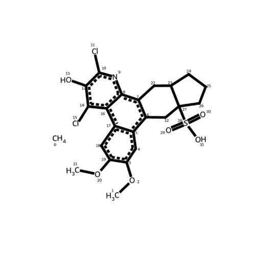 C.COc1cc2c3c(c4nc(Cl)c(O)c(Cl)c4c2cc1OC)CC1CCCC1(S(=O)(=O)O)C3